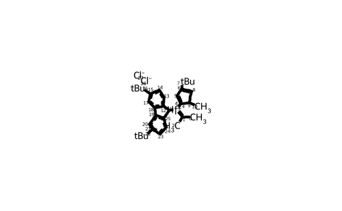 C[C](C)=[Hf+2]([C]1=CC(C(C)(C)C)=CC1C)[CH]1c2ccc(C(C)(C)C)cc2-c2cc(C(C)(C)C)ccc21.[Cl-].[Cl-]